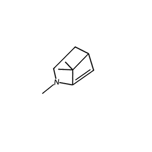 CN1CCC2C=C1C2(C)C